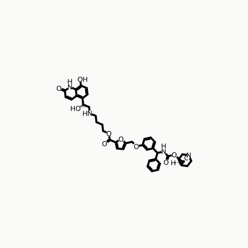 O=C(NC(c1ccccc1)c1cccc(OCc2ccc(C(=O)OCCCCNC[C@H](O)c3ccc(O)c4[nH]c(=O)ccc34)o2)c1)O[C@H]1CN2CCC1CC2